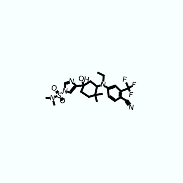 CCN(c1ccc(C#N)c(C(F)(F)F)c1)C1CC(O)(c2cn(S(=O)(=O)N(C)C)cn2)CCC1(C)C